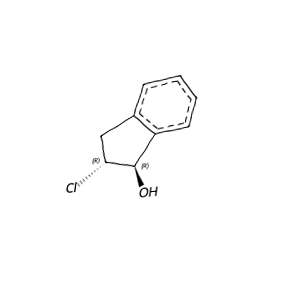 O[C@@H]1c2ccccc2C[C@H]1Cl